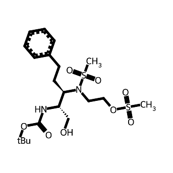 CC(C)(C)OC(=O)N[C@@H](CO)[C@@H](CCc1ccccc1)N(CCOS(C)(=O)=O)S(C)(=O)=O